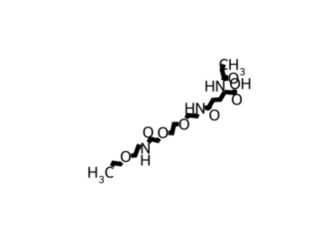 CCCOCCNC(=O)COCCOCCNC(=O)CCC(NC(=O)CC)C(=O)O